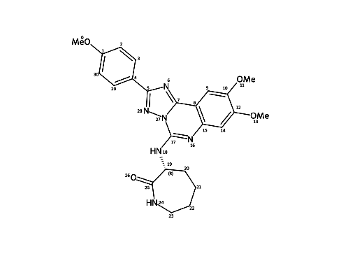 COc1ccc(-c2nc3c4cc(OC)c(OC)cc4nc(N[C@@H]4CCCCNC4=O)n3n2)cc1